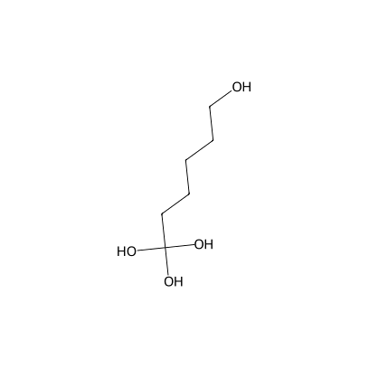 OCCCCCC(O)(O)O